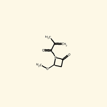 C=C(C)C(=O)N1C(=O)CC1OC